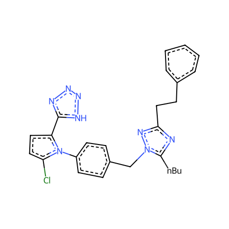 CCCCc1nc(CCc2ccccc2)nn1Cc1ccc(-n2c(Cl)ccc2-c2nnn[nH]2)cc1